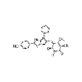 CCN1C(=O)C(C#N)=C(C)/C(=C/c2cc3sc(-c4ccc(C#N)cc4)nc3n2-c2ccccc2)C1=O